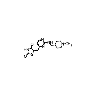 CN1CCC(CNc2nccc(C=C3SC(=O)NC3=O)n2)CC1